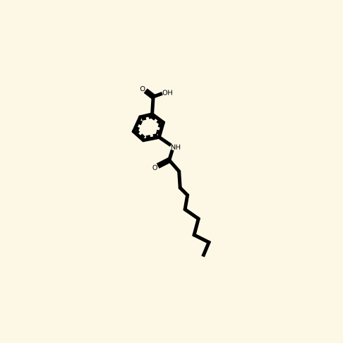 CCCCCCCCC(=O)Nc1cccc(C(=O)O)c1